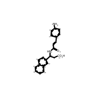 Nc1ccc(/C=C/C(=O)NC(CC(=O)O)c2ccc3ccccc3c2)cc1